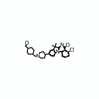 CC1(C)c2cc(C3CCN(CC4CCC(C=O)CC4)CC3)ccc2-n2c1nc(=O)c1c(Cl)cccc12